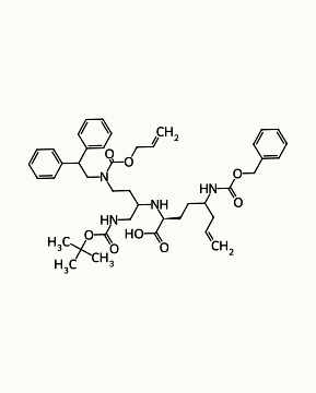 C=CCOC(=O)N(CCC(CNC(=O)OC(C)(C)C)N[C@@H](CCC(CC=C)NC(=O)OCc1ccccc1)C(=O)O)CC(c1ccccc1)c1ccccc1